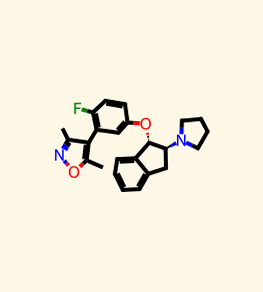 Cc1noc(C)c1-c1cc(O[C@H]2c3ccccc3C[C@@H]2N2CCCC2)ccc1F